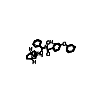 CN(C(=O)c1ccc(Oc2ccccc2)cc1)C(O[C@@H]1C[C@H]2CC[C@@H](C1)N2C)c1ccccc1